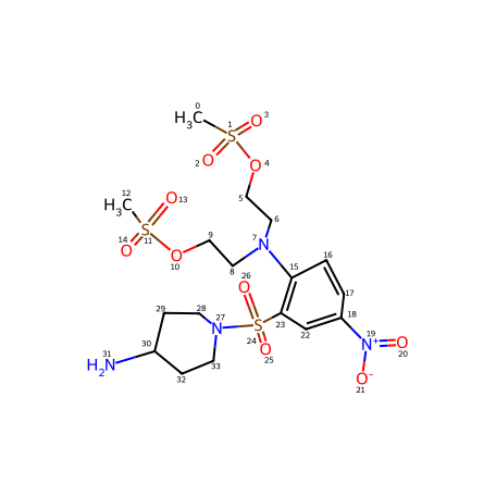 CS(=O)(=O)OCCN(CCOS(C)(=O)=O)c1ccc([N+](=O)[O-])cc1S(=O)(=O)N1CCC(N)CC1